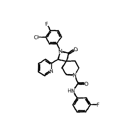 O=C(Nc1cccc(F)c1)N1CCC2(CC1)C(=O)N(c1ccc(F)c(Cl)c1)C2c1ccccn1